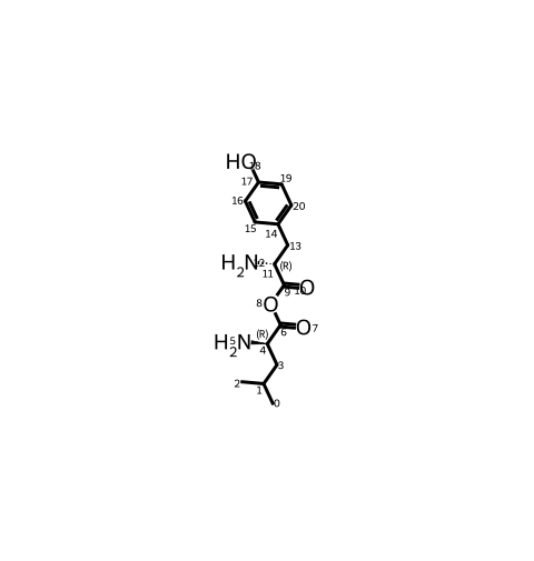 CC(C)C[C@@H](N)C(=O)OC(=O)[C@H](N)Cc1ccc(O)cc1